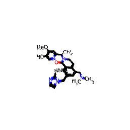 CNc1nccn1Cc1cc(CN(C)C)c2c(c1)C(=O)N([C@@H](C)c1cc(OC)c(C#N)cn1)CC2